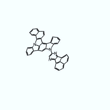 c1cc2c3c(cccc3c1)-c1nc(-n3c4ccccc4c4c5c6ccc7ccccc7c6n6c7ccccc7c(cc43)c56)cnc1-2